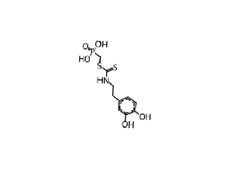 O=P(O)(O)CSC(=S)NCCc1ccc(O)c(O)c1